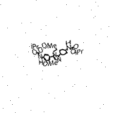 COCCn1c(-c2ccc(NC(=O)OC(C)C)cc2OC)cnc1C1CCC(NC(=O)OC(C)C)CC1